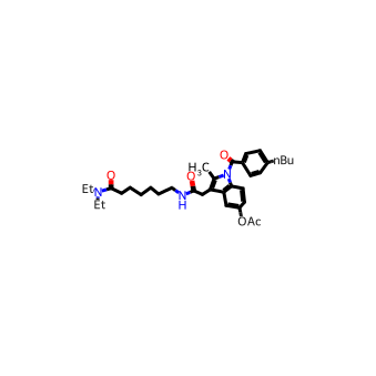 CCCCc1ccc(C(=O)n2c(C)c(CC(=O)NCCCCCCC(=O)N(CC)CC)c3cc(OC(C)=O)ccc32)cc1